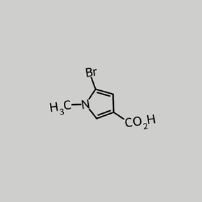 Cn1cc(C(=O)O)cc1Br